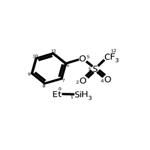 CC[SiH3].O=S(=O)(Oc1ccccc1)C(F)(F)F